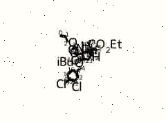 C=CCOC(=O)N[C@@]1(C(=O)OC(C)CC)[C@H](OCc2ccc(Cl)c(Cl)c2)C[C@@H]2[C@H]1[C@@]2(F)C(=O)OCC